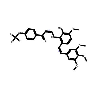 COc1ccc(/C=C\c2cc(OC)c(OC)c(OC)c2)c(N/C=C\C(=O)c2ccc(OC(F)(F)F)cc2)c1O